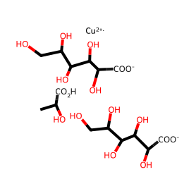 CC(O)C(=O)O.O=C([O-])C(O)C(O)C(O)C(O)CO.O=C([O-])C(O)C(O)C(O)C(O)CO.[Cu+2]